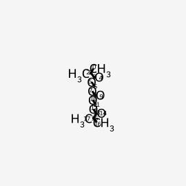 CC(C)C(=O)OCOC(=O)OCOC(=O)C(C)C